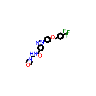 O=C(NCCN1CCOCC1)c1ccc2c(c1)ncn2-c1ccc(OCc2ccc(C(F)(F)F)cc2)cc1